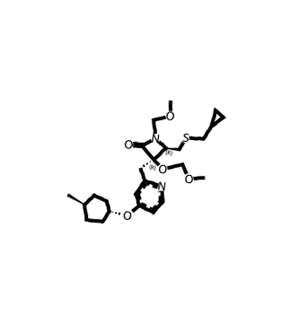 COCO[C@@]1(Cc2cc(O[C@H]3CC[C@H](C)CC3)ccn2)C(=O)N(COC)[C@H]1CSCC1CC1